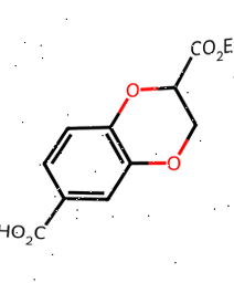 CCOC(=O)C1COc2cc(C(=O)O)ccc2O1